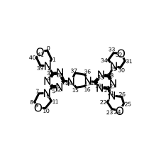 C1CN(c2nc(N3CCOCC3)nc(N3CCN(c4nc(N5CCOCC5)nc(N5CCOCC5)n4)CC3)n2)CCO1